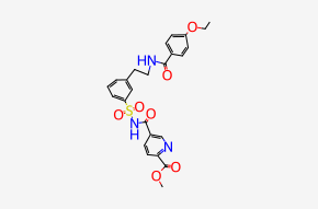 CCOc1ccc(C(=O)NCCc2cccc(S(=O)(=O)NC(=O)c3ccc(C(=O)OC)nc3)c2)cc1